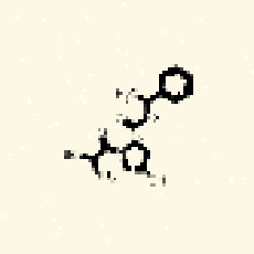 CC(NC(=O)[C@@H]1C[C@@H](O)CN1C(=O)C(N)C(C)(C)C)c1ccccc1